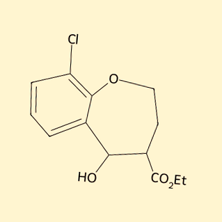 CCOC(=O)C1CCOc2c(Cl)cccc2C1O